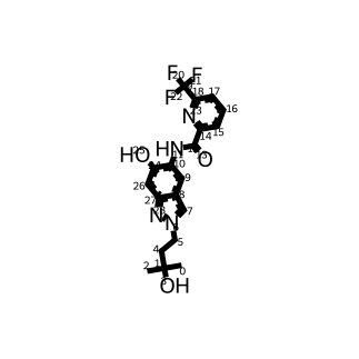 CC(C)(O)CCn1cc2cc(NC(=O)c3cccc(C(F)(F)F)n3)c(O)cc2n1